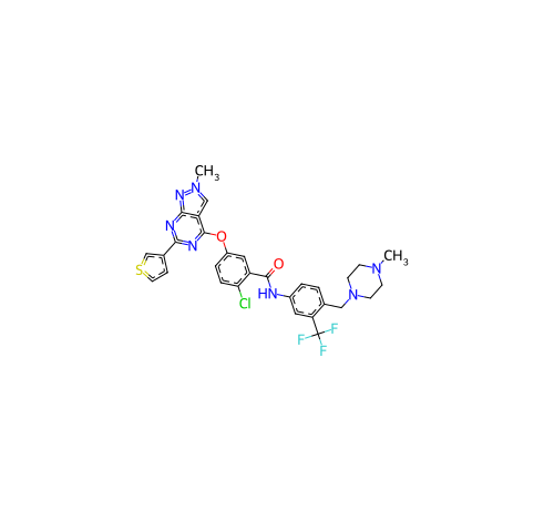 CN1CCN(Cc2ccc(NC(=O)c3cc(Oc4nc(-c5ccsc5)nc5nn(C)cc45)ccc3Cl)cc2C(F)(F)F)CC1